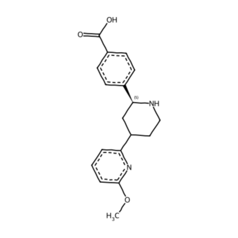 COc1cccc(C2CCN[C@H](c3ccc(C(=O)O)cc3)C2)n1